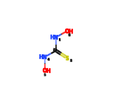 ONC(=S)NO